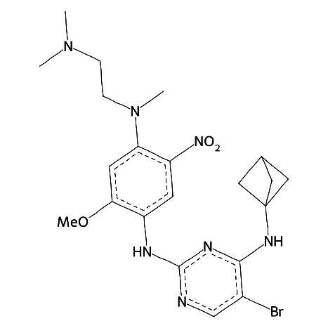 COc1cc(N(C)CCN(C)C)c([N+](=O)[O-])cc1Nc1ncc(Br)c(NC23CC(C2)C3)n1